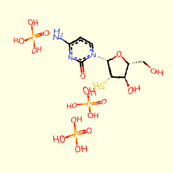 Nc1ccn([C@@H]2O[C@H](CO)[C@@H](O)[C@@H]2S)c(=O)n1.O=P(O)(O)O.O=P(O)(O)O.O=P(O)(O)O